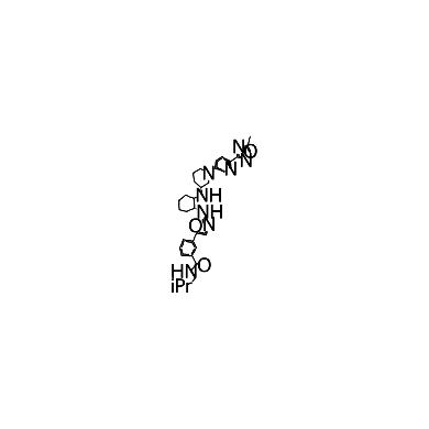 Cc1nc(-c2ccc(N3CCC[C@H](N[C@@H]4CCCC[C@H]4Nc4ncc(-c5cccc(C(=O)NCC(C)C)c5)o4)C3)cn2)no1